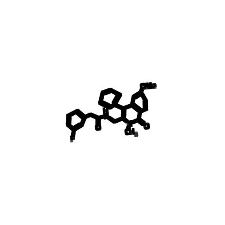 COc1ccc2c(=O)n(C)c(CNC(=O)Cc3cccc(F)c3)c(-c3ccccc3)c2c1